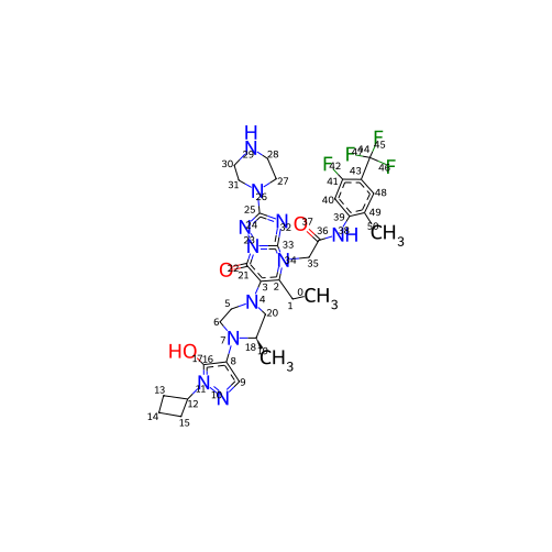 CCc1c(N2CCN(c3cnn(C4CCC4)c3O)[C@H](C)C2)c(=O)n2nc(N3CCNCC3)nc2n1CC(=O)Nc1cc(F)c(C(F)(F)F)cc1C